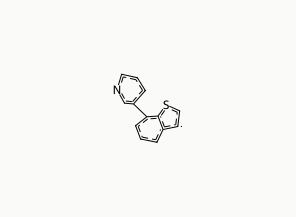 [c]1csc2c(-c3cccnc3)cccc12